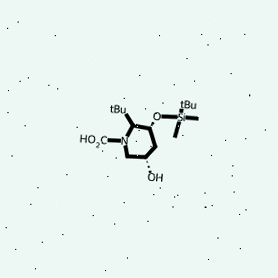 CC(C)(C)C1[C@H](O[Si](C)(C)C(C)(C)C)C[C@H](O)CN1C(=O)O